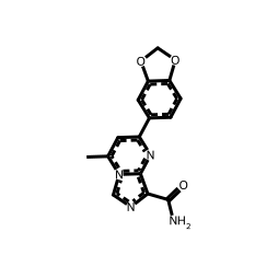 Cc1cc(-c2ccc3c(c2)OCO3)nc2c(C(N)=O)ncn12